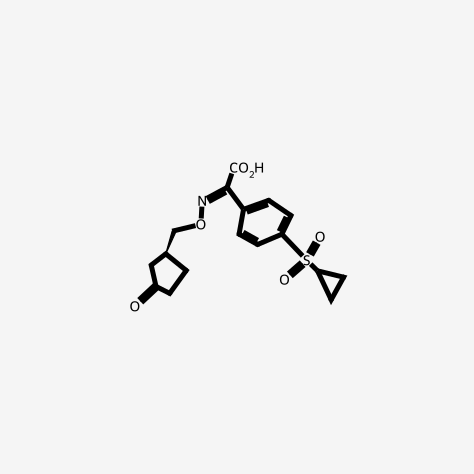 O=C1CC[C@H](CO/N=C(/C(=O)O)c2ccc(S(=O)(=O)C3CC3)cc2)C1